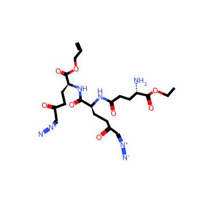 C=CCOC(=O)[C@H](CCC(=O)C=[N+]=[N-])NC(=O)[C@H](CCC(=O)C=[N+]=[N-])NC(=O)CC[C@H](N)C(=O)OCC